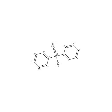 O=P([O-])(c1ccccc1)c1ccccc1.[Li+]